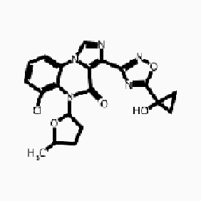 CC1CCC(n2c(=O)c3c(-c4noc(C5(O)CC5)n4)ncn3c3cccc(Cl)c32)O1